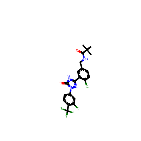 CC(C)(C)C(=O)NCc1ccc(Cl)c(-c2nn(-c3ccc(C(F)(F)F)c(F)c3)c(=O)[nH]2)c1